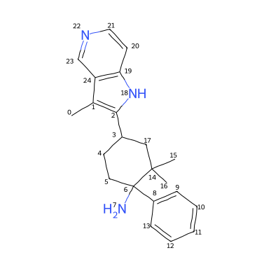 Cc1c(C2CCC(N)(c3ccccc3)C(C)(C)C2)[nH]c2ccncc12